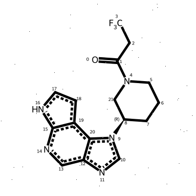 O=C(CC(F)(F)F)N1CCC[C@@H](n2cnc3cnc4[nH]ccc4c32)C1